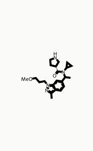 COCCCn1nc(C)c2ccc(C(C)N(C(=O)[C@@H]3CCNC3)C3CC3)cc21